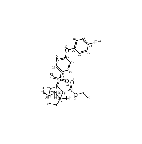 CCOC(=O)[C@@H]1[C@@H]2CC[C@H](CN1S(=O)(=O)c1ccc(Oc3ccc(F)cc3)nc1)N2